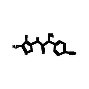 COc1ccc(C(C)C(=O)Nc2snc(C)c2Cl)cc1